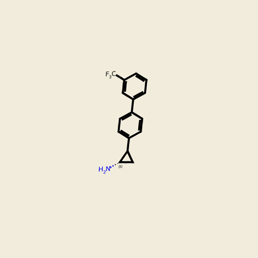 N[C@H]1CC1c1ccc(-c2cccc(C(F)(F)F)c2)cc1